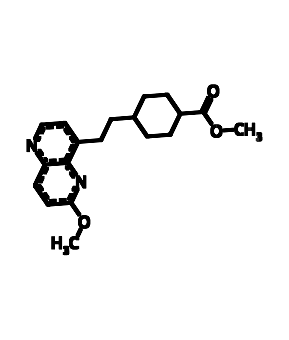 COC(=O)C1CCC(CCc2ccnc3ccc(OC)nc23)CC1